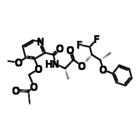 COc1ccnc(C(=O)N[C@@H](C)C(=O)O[C@H](C(F)F)[C@H](C)Oc2ccccc2)c1OCOC(C)=O